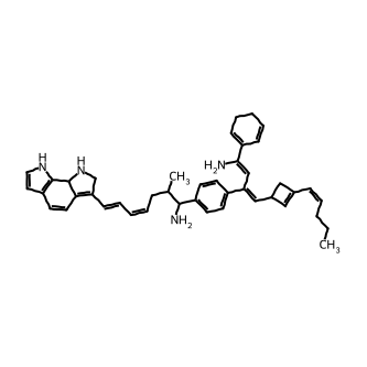 CCC/C=C\C1=CC(/C=C(\C=C(/N)C2=CCCC=C2)c2ccc(C(N)C(C)C/C=C\C=CC3=C4C=Cc5cc[nH]c5C4NC3)cc2)C1